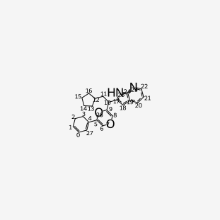 C1=CCCC(C2=COC=C(C(CC3CCCC3)c3cc4cccnc4[nH]3)O2)=C1